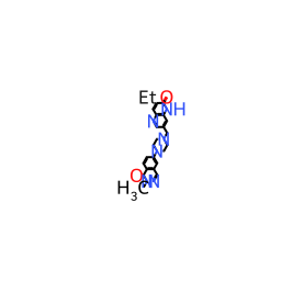 CCc1cc2ncc(CN3CCN(c4ccc5c(=O)n(C)ncc5c4)CC3)cc2[nH]c1=O